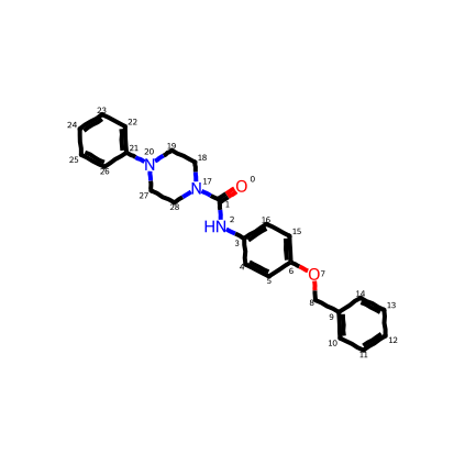 O=C(Nc1ccc(OCc2ccccc2)cc1)N1CCN(c2ccccc2)CC1